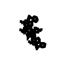 [2H]C1(O)CC2(CN(c3cc(F)cnc3C(=O)c3ncc(F)cc3N3CC4(CC([2H])(O)c5cc(-c6ccccc6C6CC6)ccc54)CC3([2H])[2H])C([2H])([2H])C2)c2ccc(-c3ccccc3C3CC3)cc21